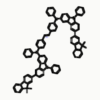 CC1(C)C2=C(CCC=C2)c2ccc(-c3ccc4c(c3)c3cc(N(c5ccccc5)c5ccc(/C=C/c6ccc(N(c7ccccc7)c7ccc8c(c7)c7cc(-c9ccc%10c(c9)C(C)(C)c9ccccc9-%10)ccc7n8-c7ccccc7)cc6)cc5)ccc3n4-c3ccccc3)cc21